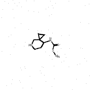 CCCCOC(=O)NC1CCNCC12CC2